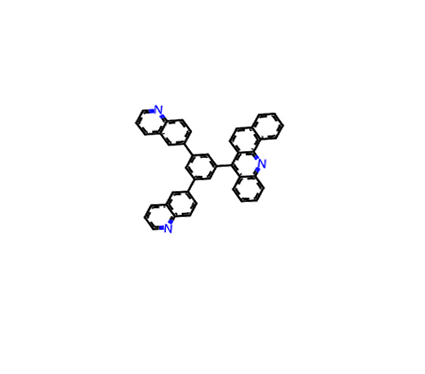 c1cnc2ccc(-c3cc(-c4ccc5ncccc5c4)cc(-c4c5ccccc5nc5c4ccc4ccccc45)c3)cc2c1